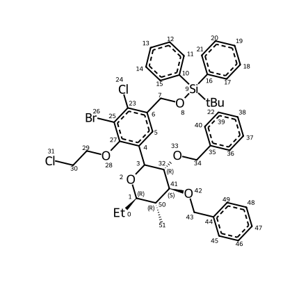 CC[C@H]1OC(c2cc(CO[Si](c3ccccc3)(c3ccccc3)C(C)(C)C)c(Cl)c(Br)c2OCCCl)[C@H](OCc2ccccc2)[C@@H](OCc2ccccc2)[C@@H]1C